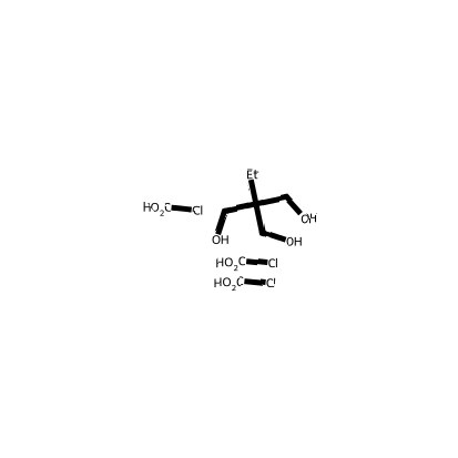 CCC(CO)(CO)CO.O=C(O)Cl.O=C(O)Cl.O=C(O)Cl